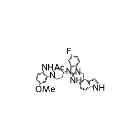 COc1ccc(NC(C)=O)c(N2CCC(n3c(=N)n(Cc4cccc5[nH]ccc45)c4ccc(F)cc43)CC2)c1